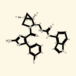 Cc1nc(C(=O)N2C[C@H]3C[C@H]3[C@H]2CNC(=O)Oc2cccc3occc23)c(-c2cccc(F)c2)s1